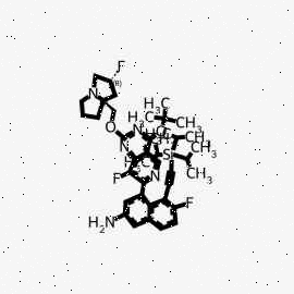 CC(C)[Si](C#Cc1c(F)ccc2cc(N)cc(-c3ncc4c(OC(C)(C)C)nc(OC[C@@]56CCCN5C[C@H](F)C6)nc4c3F)c12)(C(C)C)C(C)C